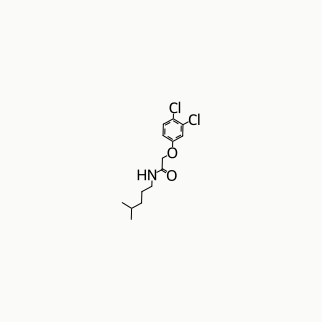 CC(C)CCCNC(=O)COc1ccc(Cl)c(Cl)c1